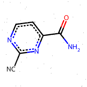 N#Cc1nc[c]c(C(N)=O)n1